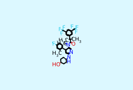 Cc1cc(F)ccc1-c1cc(NC2CCC(O)CC2)ncc1N(C)C(=O)C(C)(C)c1cc(C(F)(F)F)cc(C(F)(F)F)c1